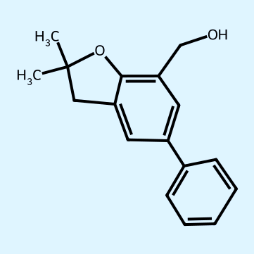 CC1(C)Cc2cc(-c3ccccc3)cc(CO)c2O1